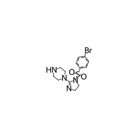 O=S(=O)(c1ccc(Br)cc1)N1CCN=C1N1CCNCC1